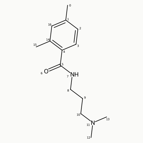 Cc1ccc(C(=O)NCCCN(C)C)c(C)c1